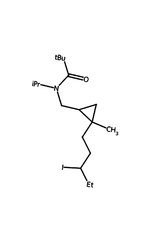 CCC(I)CCC1(C)CC1CN(C(=O)C(C)(C)C)C(C)C